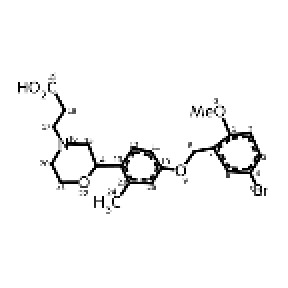 COc1ccc(Br)cc1COc1ccc(C2CN(CCC(=O)O)CCO2)c(C)c1